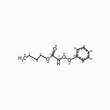 CCCCOC(=O)NOOc1ccccc1